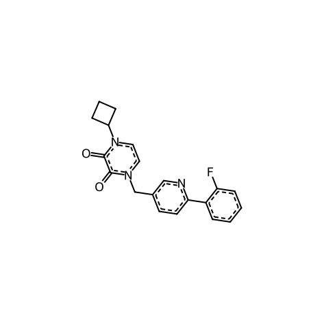 O=c1c(=O)n(C2CCC2)ccn1Cc1ccc(-c2ccccc2F)nc1